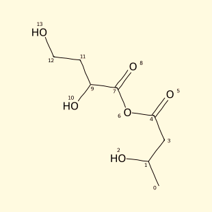 CC(O)CC(=O)OC(=O)C(O)CCO